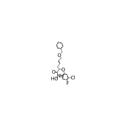 O=C(NO)C(CC=CCOCc1ccccc1)Oc1ccc(F)c(Cl)c1